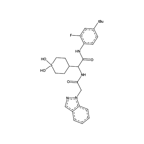 CC(C)(C)c1ccc(NC(=O)C(NC(=O)Cn2ncc3ccccc32)C2CCS(O)(O)CC2)c(F)c1